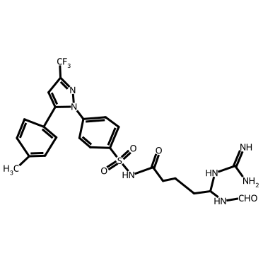 Cc1ccc(-c2cc(C(F)(F)F)nn2-c2ccc(S(=O)(=O)NC(=O)CCCC(NC=O)NC(=N)N)cc2)cc1